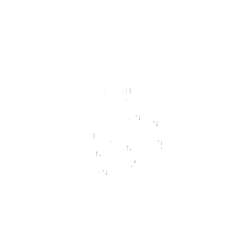 C[C@@H]1Cc2ncnc(N3CCC(O)(C4CC4)CC3)c2CN1c1cc(Cl)nc2[nH]ccc12